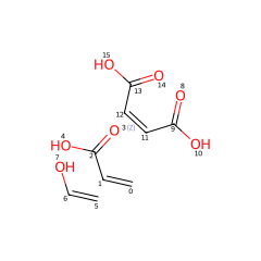 C=CC(=O)O.C=CO.O=C(O)/C=C\C(=O)O